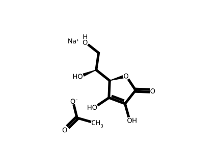 CC(=O)[O-].O=C1O[C@H]([C@@H](O)CO)C(O)=C1O.[Na+]